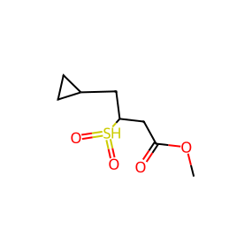 COC(=O)CC(CC1CC1)[SH](=O)=O